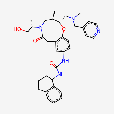 C[C@@H]1CN([C@@H](C)CO)C(=O)Cc2cc(NC(=O)NC3CCCc4ccccc43)ccc2O[C@H]1CN(C)Cc1ccncc1